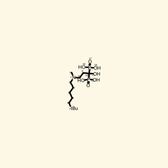 CN(CCCCCC(C)(C)C)CCC(O)(P(=O)(O)O)P(=O)(O)O